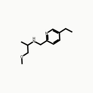 CCc1ccc(CNC(C)COC)nc1